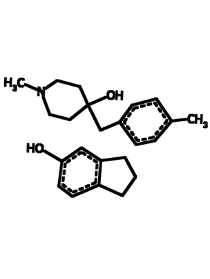 Cc1ccc(CC2(O)CCN(C)CC2)cc1.Oc1ccc2c(c1)CCC2